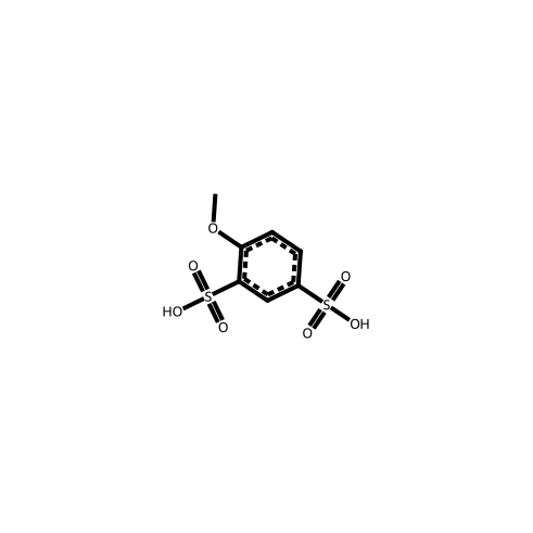 COc1ccc(S(=O)(=O)O)cc1S(=O)(=O)O